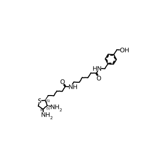 N[C@@H]1[C@H](CCCCC(=O)NCCCCCC(=O)NCc2ccc(CO)cc2)SC[C@@H]1N